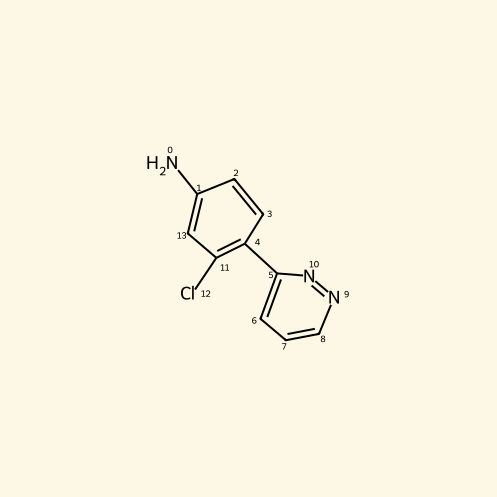 Nc1ccc(-c2cccnn2)c(Cl)c1